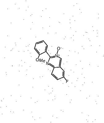 COc1ccccc1-c1nc2ccc(F)cc2c[n+]1[O-]